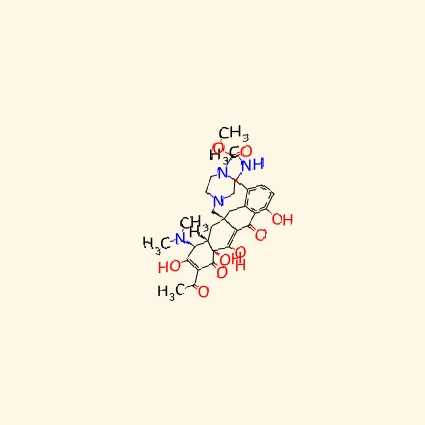 CNCc1ccc(O)c2c1C[C@@]1(CN3CCN(C(=O)OC)CC3)C[C@H]3[C@H](N(C)C)C(O)=C(C(C)=O)C(=O)[C@@]3(O)C(O)=C1C2=O